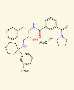 COC[C@H]1CCCN1C(=O)c1cccc(C(=O)N[C@@H](Cc2ccccc2)[C@H](O)CNC2(c3cccc(OC)c3)CCCCC2)c1